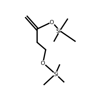 C=C(CCO[Si](C)(C)C)O[Si](C)(C)C